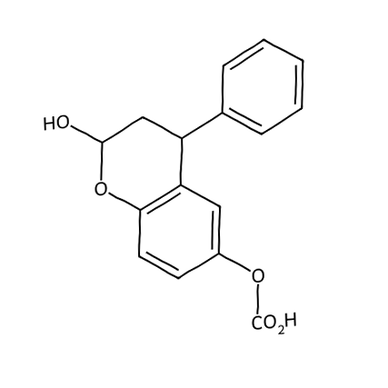 O=C(O)Oc1ccc2c(c1)C(c1ccccc1)CC(O)O2